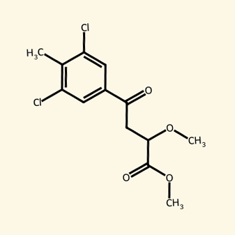 COC(=O)C(CC(=O)c1cc(Cl)c(C)c(Cl)c1)OC